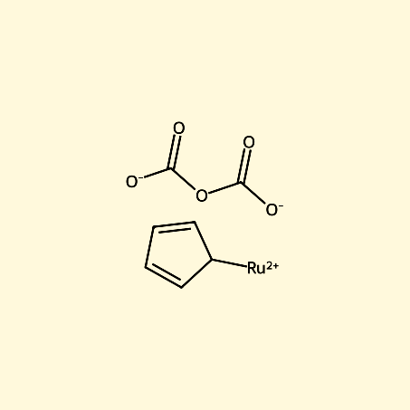 O=C([O-])OC(=O)[O-].[Ru+2][CH]1C=CC=C1